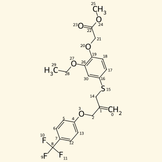 C=C(COc1ccc(C(F)(F)F)cc1)CSc1ccc(OCC(=O)OC)c(OCC)c1